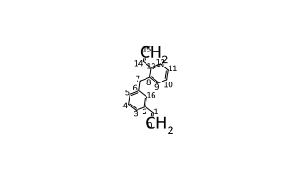 C=Cc1cccc(Cc2ccccc2C=C)c1